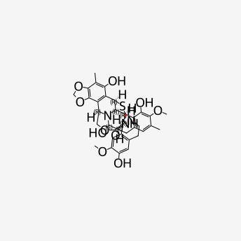 COc1cc2c(cc1O)CCN[C@]21CS[C@@H]2c3c(O)c(C)c4c(c3[C@H](COC1=O)N1[C@@H]2[C@@H]2N[C@H](Cc3cc(C)c(OC)c(O)c32)[C@@H]1O)OCO4